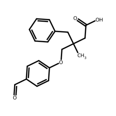 CC(COc1ccc(C=O)cc1)(CC(=O)O)Cc1ccccc1